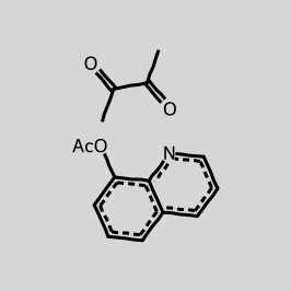 CC(=O)C(C)=O.CC(=O)Oc1cccc2cccnc12